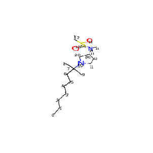 CCCCCCCC(C)(C)N1CC[C@@H](N(C)S(C)(=O)=O)C1